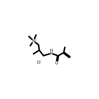 C=C(C)C(=O)NCC(C)C[N+](C)(C)C.[Cl-]